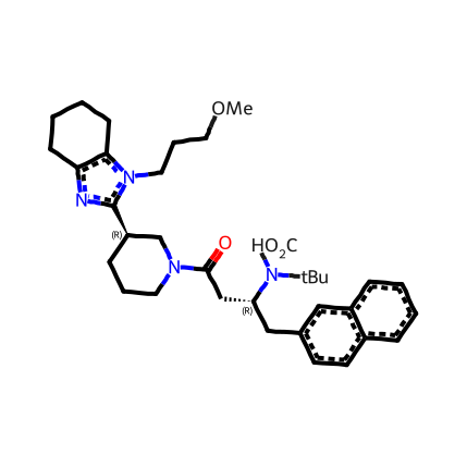 COCCCn1c([C@@H]2CCCN(C(=O)C[C@@H](Cc3ccc4ccccc4c3)N(C(=O)O)C(C)(C)C)C2)nc2c1CCCC2